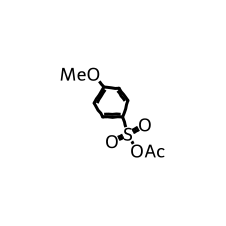 COc1ccc(S(=O)(=O)OC(C)=O)cc1